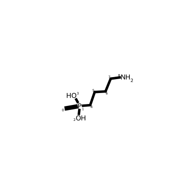 C=P(O)(O)CCCCN